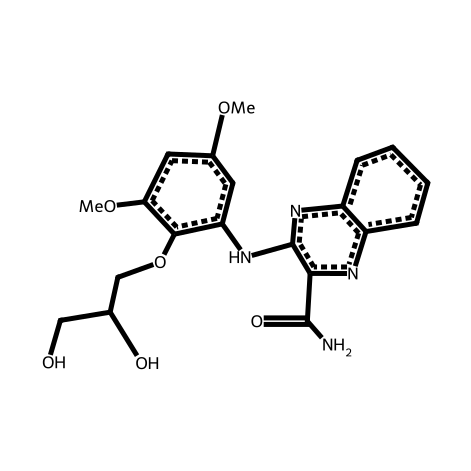 COc1cc(Nc2nc3ccccc3nc2C(N)=O)c(OCC(O)CO)c(OC)c1